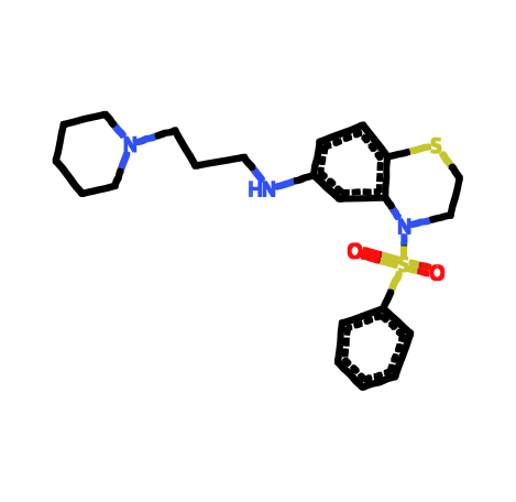 O=S(=O)(c1ccccc1)N1CCSc2ccc(NCCCN3CCCCC3)cc21